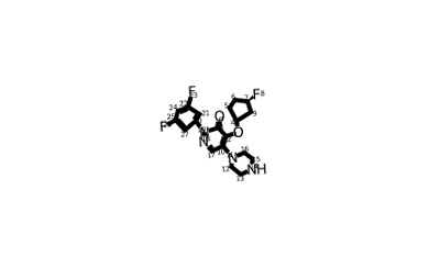 O=c1c(OC2CC[C@@H](F)C2)c(N2CCNCC2)cnn1-c1cc(F)cc(F)c1